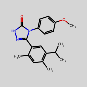 COc1ccc(-n2c(-c3cc(C(C)C)c(C)cc3C)n[nH]c2=O)cc1